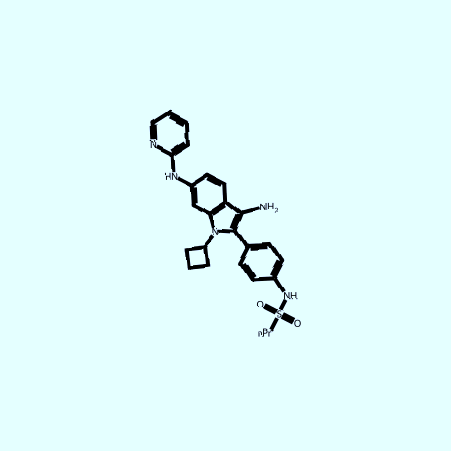 CCCS(=O)(=O)Nc1ccc(-c2c(N)c3ccc(Nc4ccccn4)cc3n2C2CCC2)cc1